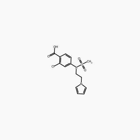 CS(=O)(=O)N(CCn1cccc1)c1ccc(C(=O)O)c(Cl)c1